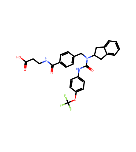 O=C(O)CCNC(=O)c1ccc(CN(C(=O)Nc2ccc(OC(F)(F)F)cc2)C2Cc3ccccc3C2)cc1